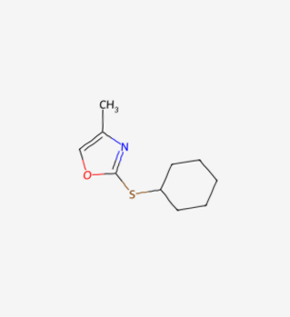 Cc1coc(SC2CCCCC2)n1